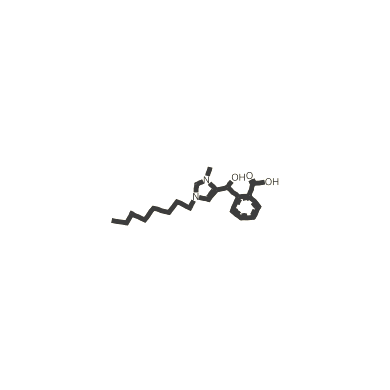 CCCCCCCCN1C=C(C(O)c2ccccc2C(=O)O)N(C)C1